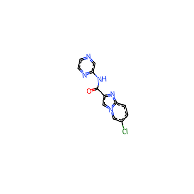 O=C(Nc1cnccn1)c1cn2cc(Cl)ccc2n1